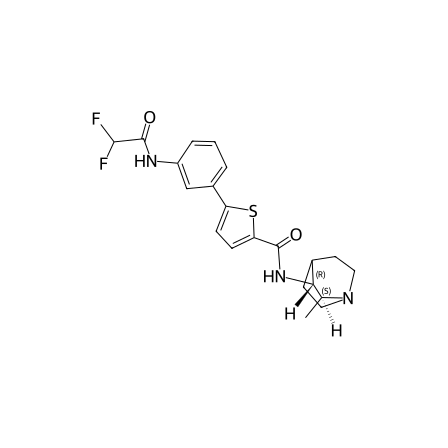 C[C@H]1[C@H](NC(=O)c2ccc(-c3cccc(NC(=O)C(F)F)c3)s2)C2CCN1CC2